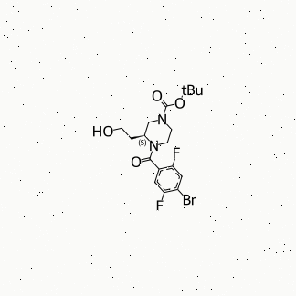 CC(C)(C)OC(=O)N1CCN(C(=O)c2cc(F)c(Br)cc2F)[C@@H](CCO)C1